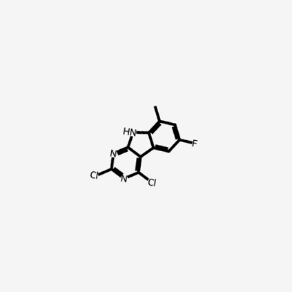 Cc1cc(F)cc2c1[nH]c1nc(Cl)nc(Cl)c12